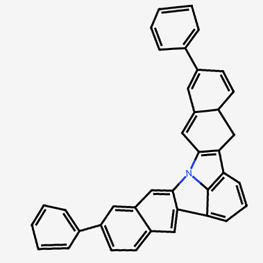 C1=CC2Cc3c(n4c5cc6cc(-c7ccccc7)ccc6cc5c5cccc3c54)C=C2C=C1c1ccccc1